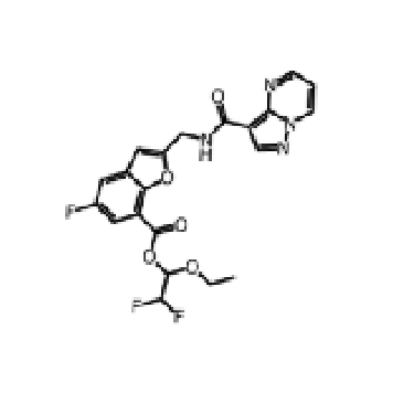 CCOC(OC(=O)c1cc(F)cc2cc(CNC(=O)c3cnn4cccnc34)oc12)C(F)F